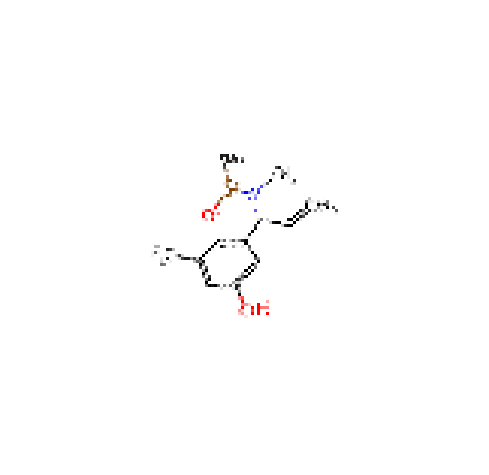 C=C[C@H](c1cc(O)cc(C(F)(F)F)c1)N(C)[S+]([O-])C(C)(C)C